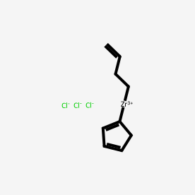 C=CC[CH2][Zr+3][C]1=CC=CC1.[Cl-].[Cl-].[Cl-]